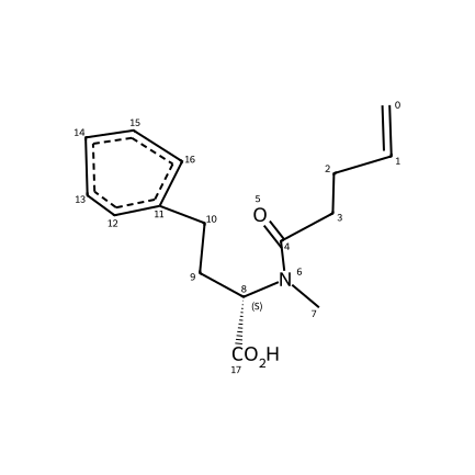 C=CCCC(=O)N(C)[C@@H](CCc1ccccc1)C(=O)O